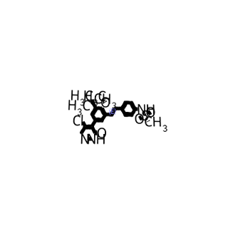 COc1c(/C=C/c2ccc(NS(C)(=O)=O)cc2)cc(-c2c(Cl)cn[nH]c2=O)cc1C(C)(C)C